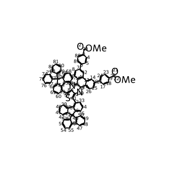 COC(=O)c1ccc(-c2ccc3c(c2)c2cc(-c4ccc(C(=O)OC)cc4)ccc2c2nc4c(-c5cccc6c5-c5ccccc5C6(c5ccccc5)c5ccccc5)sc(-c5cccc6c5-c5ccccc5C6(c5ccccc5)c5ccccc5)c4nc32)cc1